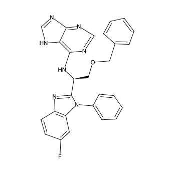 Fc1ccc2nc([C@H](COCc3ccccc3)Nc3ncnc4nc[nH]c34)n(-c3ccccc3)c2c1